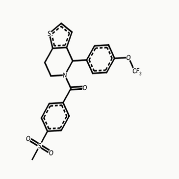 CS(=O)(=O)c1ccc(C(=O)N2CCc3sccc3C2c2ccc(OC(F)(F)F)cc2)cc1